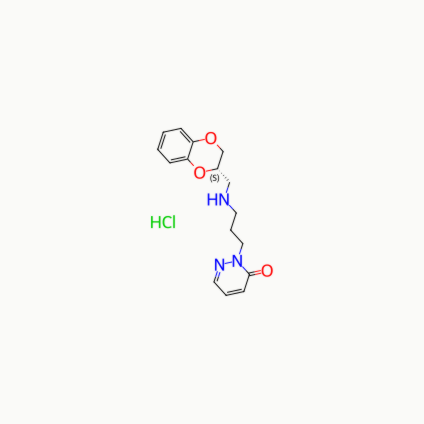 Cl.O=c1cccnn1CCCNC[C@H]1COc2ccccc2O1